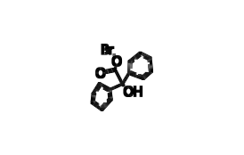 O=C(OBr)C(O)(c1ccccc1)c1ccccc1